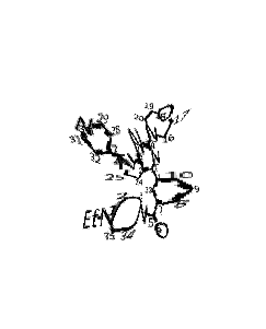 CCN1CCN(C(=O)c2cccc(-c3nc(N4CCOCC4)nc4c3CCN4c3ccncc3)c2)CC1